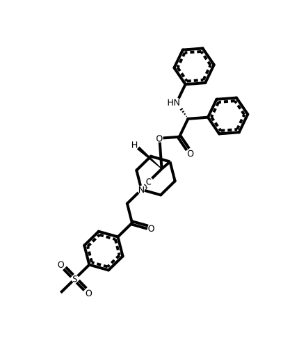 CS(=O)(=O)c1ccc(C(=O)C[N+]23CCC(CC2)[C@@H](OC(=O)[C@H](Nc2ccccc2)c2ccccc2)C3)cc1